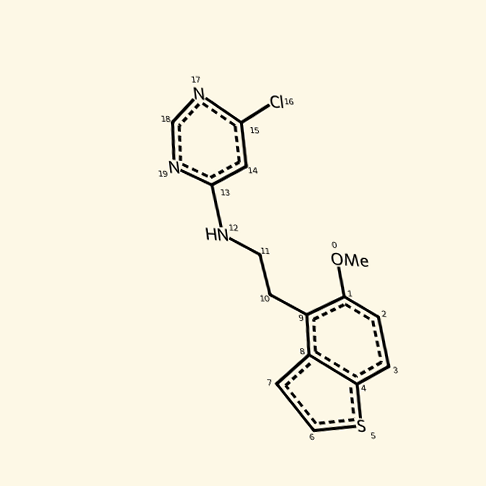 COc1ccc2sccc2c1CCNc1cc(Cl)ncn1